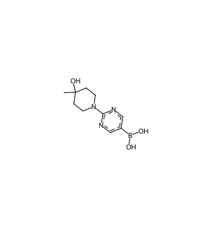 CC1(O)CCN(c2ncc(B(O)O)cn2)CC1